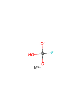 [Ni+2].[O-][Si]([O-])(O)F